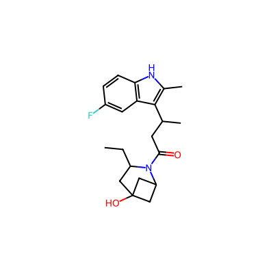 CCC1CC2(O)CC(C2)N1C(=O)CC(C)c1c(C)[nH]c2ccc(F)cc12